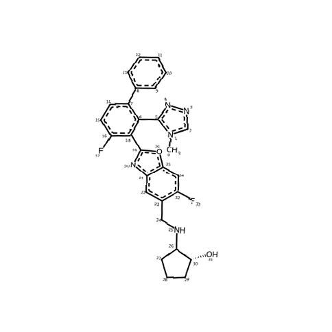 Cn1cnnc1-c1c(-c2ccccc2)ccc(F)c1-c1nc2cc(CNC3CCC[C@H]3O)c(F)cc2o1